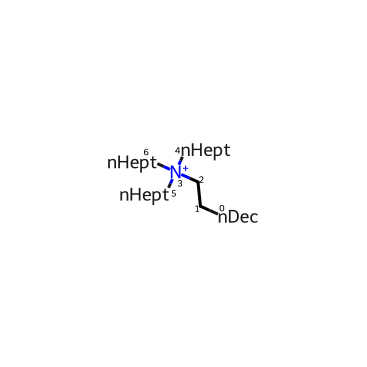 CCCCCCCCCCCC[N+](CCCCCCC)(CCCCCCC)CCCCCCC